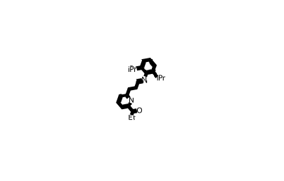 CCC(=O)c1cccc(CCC=Nc2c(C(C)C)cccc2C(C)C)n1